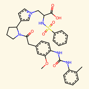 COc1cc(CC(=O)N2CCCC2c2ccn(CC(NS(=O)(=O)c3ccccc3)C(=O)O)c2)ccc1NC(=O)Nc1ccccc1C